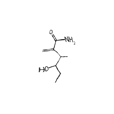 C=C(C(N)=O)C(C)C(O)CC